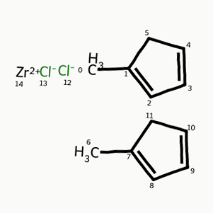 CC1=CC=CC1.CC1=CC=CC1.[Cl-].[Cl-].[Zr+2]